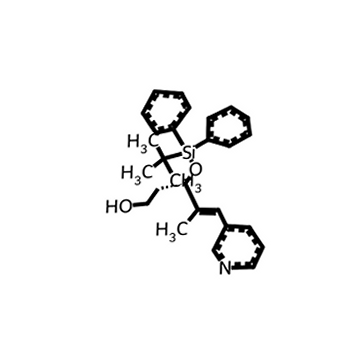 C/C(=C\c1cccnc1)[C@H](CCO)O[Si](c1ccccc1)(c1ccccc1)C(C)(C)C